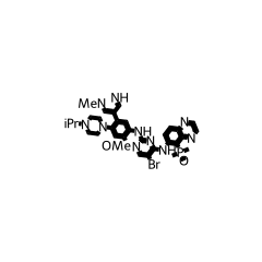 CN/C=C(\C=N)c1cc(Nc2ncc(Br)c(Nc3ccc4nccnc4c3P(C)(C)=O)n2)c(OC)cc1N1CCN(C(C)C)CC1